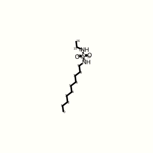 CCCCCCCCCCNS(=O)(=O)NCC